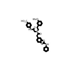 COc1cccc(CCN(CC(=O)Nc2ccc(C(=O)O)cc2)C(=O)Cc2ccc3nc(Nc4ccccc4)oc3c2)c1